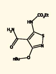 CCCCOc1nsc(NC(=O)OCC)c1C(N)=O